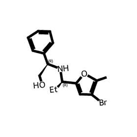 CC[C@@H](N[C@@H](CO)c1ccccc1)c1cc(Br)c(C)o1